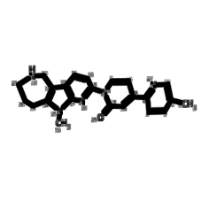 Cc1ccc(-c2ccn(-c3ccc4c5c(n(C)c4n3)CCCNC5)c(=O)c2)nc1